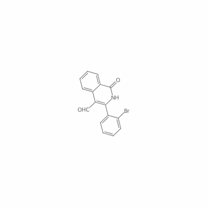 O=Cc1c(-c2ccccc2Br)[nH]c(=O)c2ccccc12